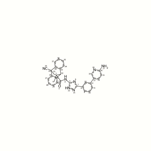 CC1(C(=O)Nc2nc(-c3cccc(-c4ccc(N)nc4)c3)n[nH]2)CC2(C#N)c3ccccc3C1c1ccccc12